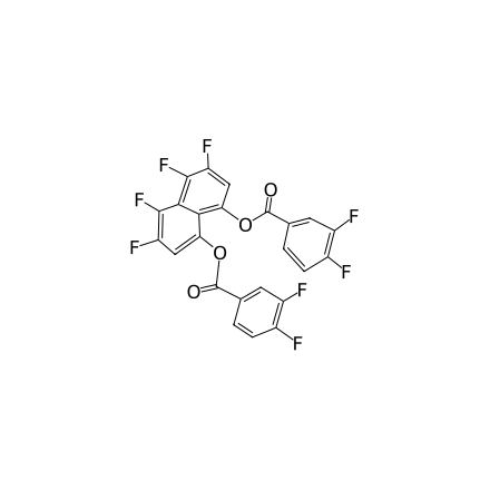 O=C(Oc1cc(F)c(F)c2c(F)c(F)cc(OC(=O)c3ccc(F)c(F)c3)c12)c1ccc(F)c(F)c1